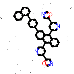 c1ccc2c(-c3ccc(-c4ccc5c(-c6cncc(-c7cnco7)c6)c6ccccc6c(-c6cncc(-c7cnco7)c6)c5c4)cc3)cccc2c1